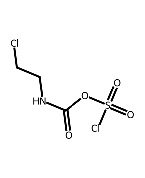 O=C(NCCCl)OS(=O)(=O)Cl